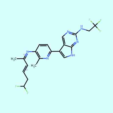 CC(/C=C/CC(F)F)=N/c1ccc(-c2c[nH]c3nc(NCC(F)(F)F)ncc23)nc1C